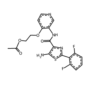 CC(=O)OCCOc1ccncc1NC(=O)c1nc(-c2c(F)cccc2F)sc1N